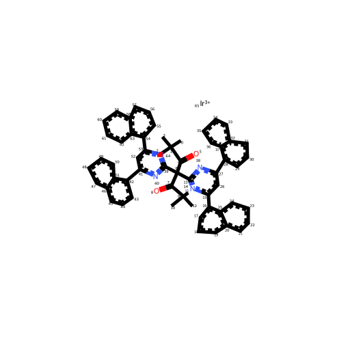 CC(C)(C)C(=O)C(C(=O)C(C)(C)C)(c1nc(-c2cccc3ccccc23)cc(-c2cccc3ccccc23)n1)c1nc(-c2cccc3ccccc23)cc(-c2cccc3ccccc23)n1.[Ir+3]